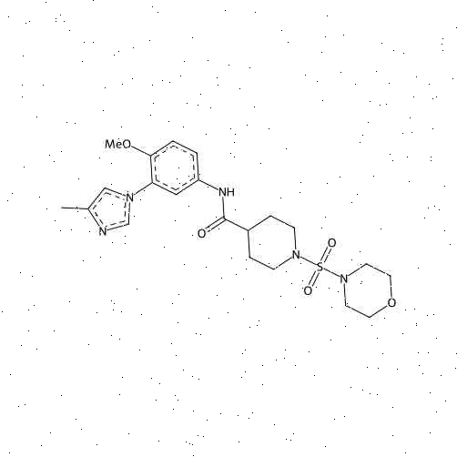 COc1ccc(NC(=O)C2CCN(S(=O)(=O)N3CCOCC3)CC2)cc1-n1cnc(C)c1